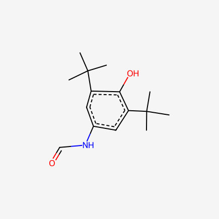 CC(C)(C)c1cc(NC=O)cc(C(C)(C)C)c1O